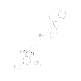 O[C@]1(CCNCCCCc2nc3c(C(F)(F)F)cc(C(F)(F)F)cc3[nH]2)C[C@@H]2CC[C@H]1C=C2c1ccccc1